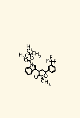 COC(=O)C(CC(=O)c1cccc(C(F)(F)F)c1)c1cn(C(=O)OC(C)(C)C)c2ccccc12